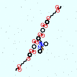 C=CC(=O)OCCCCCCOc1ccc(OC(=O)[C@H]2CC[C@H](C(=O)Oc3ccc(OC(=O)[C@H]4CC[C@H](C(=O)Oc5ccc(OCCCCCCOC(=O)C=C)cc5)CC4)c(/C=N/N(c4nc5ccccc5s4)C4CCCCC4)c3)CC2)cc1